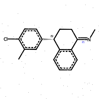 C/N=C1\CC[C@@H](c2ccc(Cl)c(C)c2)c2ccccc21